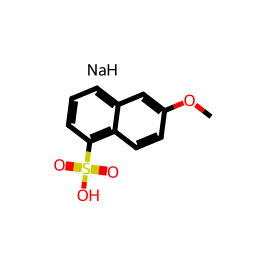 COc1ccc2c(S(=O)(=O)O)cccc2c1.[NaH]